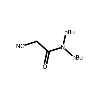 CCCCN(CCCC)C(=O)CC#N